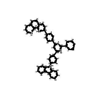 c1ccc(-c2nc(-c3ccc(-c4ccc5ccc6cccnc6c5n4)cc3)cc(-c3ccc(-n4c5ccccc5c5ccccc54)cc3)n2)cc1